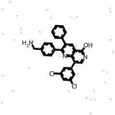 NCc1ccc(-c2nc3c(-c4cc(Cl)cc(Cl)c4)cnc(O)c3cc2-c2ccccc2)cc1